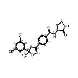 O=C1NOCC1NC(=S)c1ccc(C2=NOC(c3cc(Cl)cc(Cl)c3)(C(F)(F)F)C2)cc1